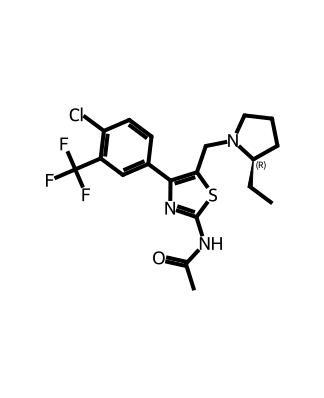 CC[C@@H]1CCCN1Cc1sc(NC(C)=O)nc1-c1ccc(Cl)c(C(F)(F)F)c1